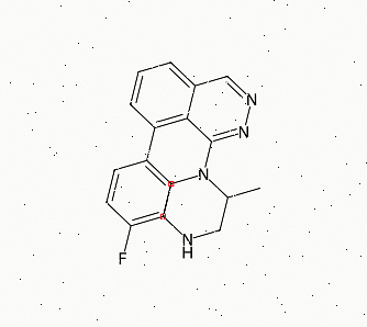 CC1CNCCN1c1nncc2cccc(-c3ccc(F)cc3)c12